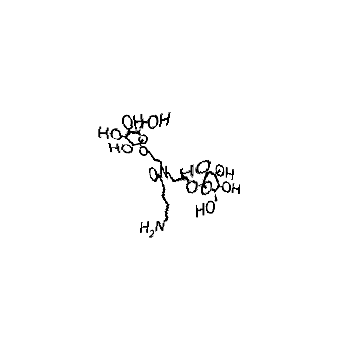 NCCCCCC(=O)N(CCCO[C@H]1O[C@H](CO)[C@@H](O)[C@H](O)[C@@H]1O)CCCO[C@H]1O[C@H](CO)[C@@H](O)[C@H](O)[C@@H]1O